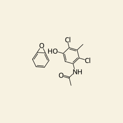 CC(=O)Nc1cc(O)c(Cl)c(C)c1Cl.c1ccc2c(c1)O2